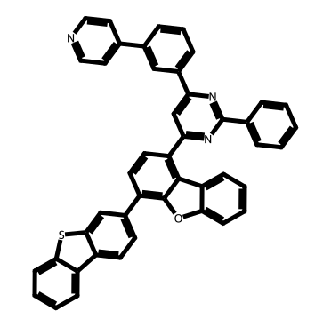 c1ccc(-c2nc(-c3cccc(-c4ccncc4)c3)cc(-c3ccc(-c4ccc5c(c4)sc4ccccc45)c4oc5ccccc5c34)n2)cc1